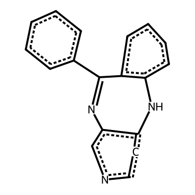 c1ccc(C2=Nc3cnccc3Nc3ccccc32)cc1